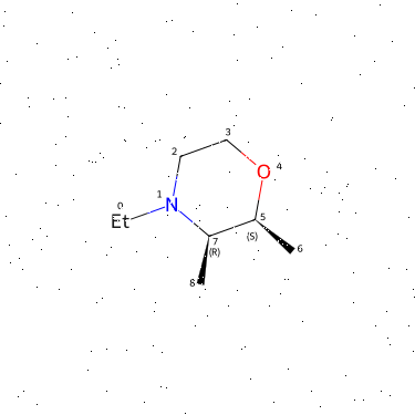 CCN1CCO[C@@H](C)[C@H]1C